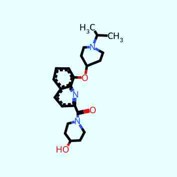 CC(C)N1CCC(Oc2cccc3ccc(C(=O)N4CCC(O)CC4)nc23)CC1